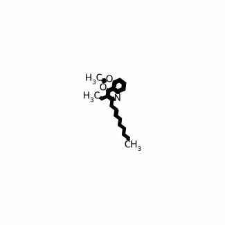 CCCCCC/C=C/Cc1nc2ccccc2c(OC(C)=O)c1CC